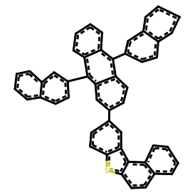 c1ccc2cc(-c3c4ccccc4c(-c4ccc5ccccc5c4)c4cc(-c5ccc6sc7ccc8ccccc8c7c6c5)ccc34)ccc2c1